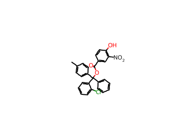 Cc1ccc(C(OC(=O)c2ccc(O)c([N+](=O)[O-])c2)(c2ccccc2)c2ccccc2Cl)cc1